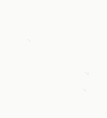 Nc1ccc(Sc2ccccc2OCCN2CCCCC2)cc1N